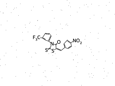 O=C1/C(=C\c2ccc([N+](=O)[O-])cc2)SC(=S)N1c1cccc(C(F)(F)F)c1